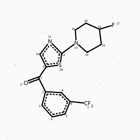 O=C(c1cccc(C(F)(F)F)c1)c1cnc(N2CCC(F)CC2)s1